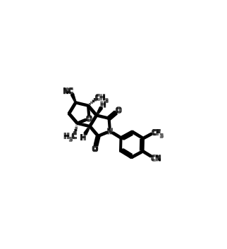 C[C@]12O[C@](C)(C[C@H]1C#N)[C@H]1C(=O)N(c3ccc(C#N)c(C(F)(F)F)c3)C(=O)[C@H]12